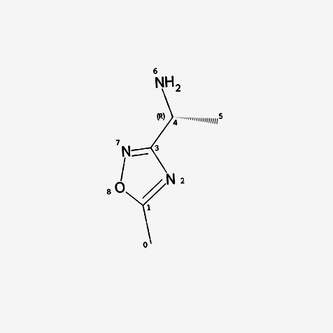 Cc1nc([C@@H](C)N)no1